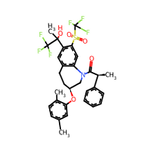 Cc1ccc(C)c(O[C@H]2CCc3cc(C(C)(O)C(F)(F)F)c(S(=O)(=O)C(F)(F)F)cc3N(C(=O)[C@@H](C)c3ccccc3)C2)c1